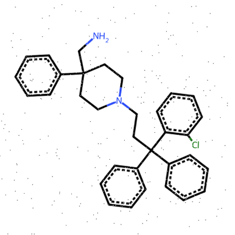 NCC1(c2ccccc2)CCN(CCC(c2ccccc2)(c2ccccc2)c2ccccc2Cl)CC1